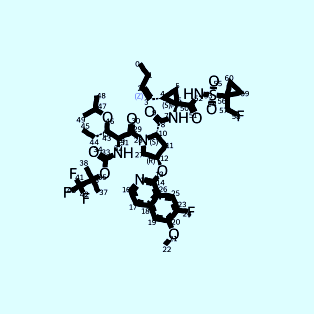 CC/C=C\[C@@H]1C[C@]1(NC(=O)[C@@H]1C[C@@H](Oc2nccc3cc(OC)c(F)cc23)CN1C(=O)[C@@H](NC(=O)OC(C)(C)C(F)(F)F)[C@H](CC)OC(C)C)C(=O)NS(=O)(=O)C1(CF)CC1